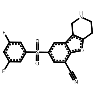 N#Cc1cc(S(=O)(=O)c2cc(F)cc(F)c2)cc2c3c(oc12)CCNC3